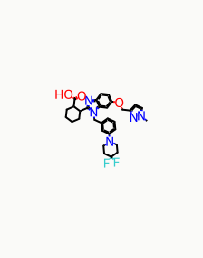 Cn1ccc(COc2ccc3nc(C4CCCCC4C(=O)O)n(Cc4cccc(N5CCC(F)(F)CC5)c4)c3c2)n1